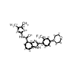 Cc1nc(NC(=O)c2cccc3[nH]c(-c4ccc(N5CCOCC5)cc4C(F)(F)F)nc23)sc1C